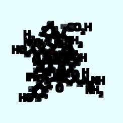 CC(C)CC(NC(=O)C(Cc1ccc(O)cc1)NC(=O)C(CCCNC(=N)N)NC(=O)C(CO)NC(=O)C(NC(=O)C(CC1CCCCC1)NC(=O)C(N)CC(=O)O)c1ccccc1)C(=O)NC(Cc1c[nH]c2ccccc12)C(=O)NC(CO)C(N)=O